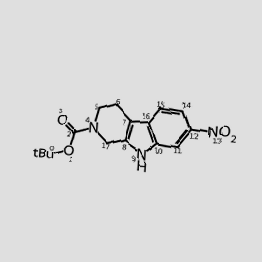 CC(C)(C)OC(=O)N1CCc2c([nH]c3cc([N+](=O)[O-])ccc23)C1